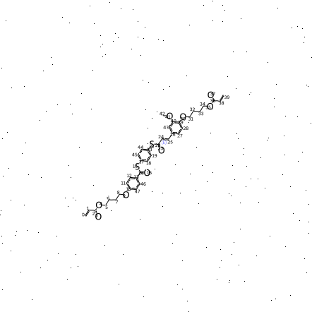 C=CC(=O)OCCCCOc1ccc(C(=O)Sc2ccc(SC(=O)/C=C/c3ccc(OCCCCOC(=O)C=C)c(OC)c3)cc2)cc1